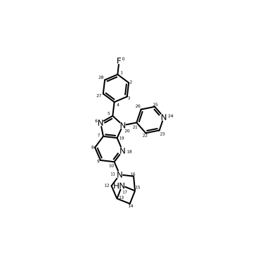 Fc1ccc(-c2nc3ccc(N4CC5CC(C4)N5)nc3n2-c2ccncc2)cc1